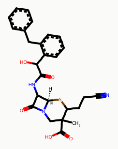 CC1(C(=O)O)CN2C(=O)C(NC(=O)C(O)c3ccccc3Cc3ccccc3)[C@H]2SC1CCC#N